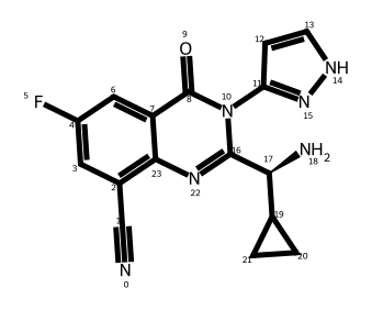 N#Cc1cc(F)cc2c(=O)n(-c3cc[nH]n3)c([C@@H](N)C3CC3)nc12